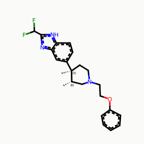 C[C@H]1CN(CCOc2ccccc2)CC[C@]1(C)c1ccc2[nH]c(C(F)F)nc2c1